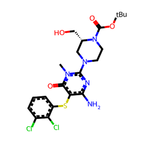 Cn1c(N2CCN(C(=O)OC(C)(C)C)[C@@H](CO)C2)nc(N)c(Sc2cccc(Cl)c2Cl)c1=O